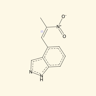 C/C(=C/c1cccc2[nH]ncc12)[N+](=O)[O-]